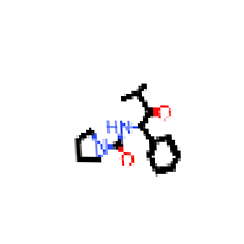 CC(C)C(=O)[C@H](NC(=O)N1CCCC1)c1ccccc1